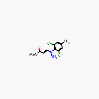 COC(=O)C=CN(N)c1c(Cl)cc(C(F)(F)F)cc1Cl